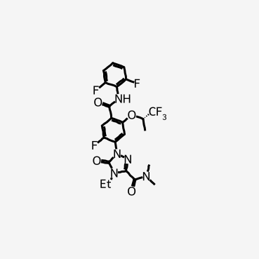 CCn1c(C(=O)N(C)C)nn(-c2cc(O[C@@H](C)C(F)(F)F)c(C(=O)Nc3c(F)cccc3F)cc2F)c1=O